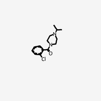 CC(C)N1CCN(C(=O)c2ccccc2Cl)CC1